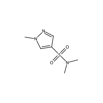 CN(C)S(=O)(=O)c1cnn(C)c1